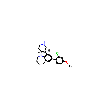 COc1ccc(-c2cc3c4c(c2)[C@@H]2CNCC[C@@H]2N4CCCC3)c(Cl)c1